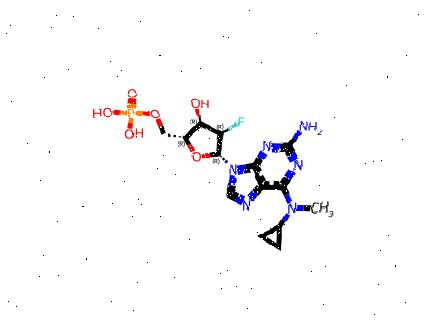 CN(c1nc(N)nc2c1ncn2[C@@H]1O[C@H](COP(=O)(O)O)[C@@H](O)[C@H]1F)C1CC1